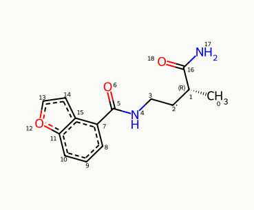 C[C@H]([CH]CNC(=O)c1cccc2occc12)C(N)=O